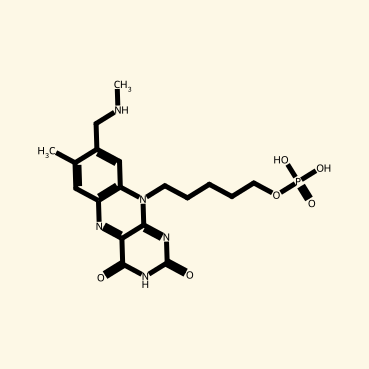 CNCc1cc2c(cc1C)nc1c(=O)[nH]c(=O)nc-1n2CCCCCOP(=O)(O)O